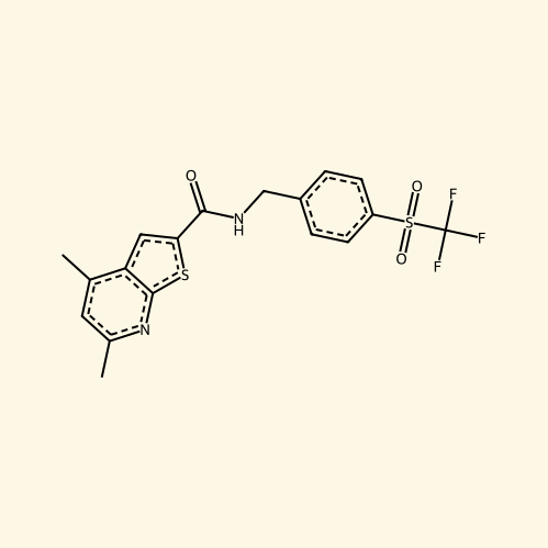 Cc1cc(C)c2cc(C(=O)NCc3ccc(S(=O)(=O)C(F)(F)F)cc3)sc2n1